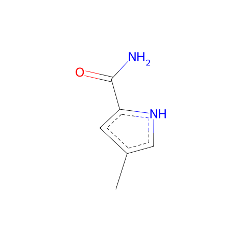 Cc1c[nH]c(C(N)=O)c1